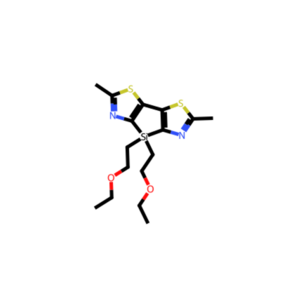 CCOCC[Si]1(CCOCC)c2nc(C)sc2-c2sc(C)nc21